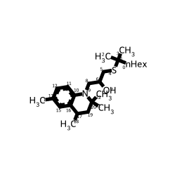 CCCCCCC(C)(C)SCC(O)CN1c2ccc(C)cc2C(C)CC1(C)C